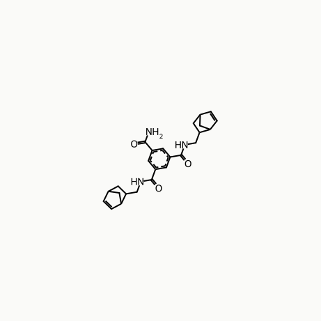 NC(=O)c1cc(C(=O)NCC2CC3C=CC2C3)cc(C(=O)NCC2CC3C=CC2C3)c1